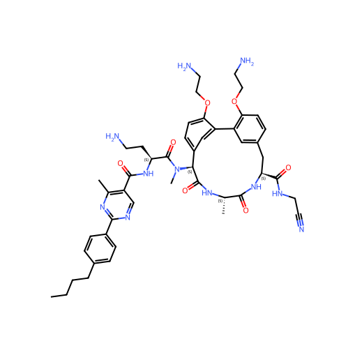 CCCCc1ccc(-c2ncc(C(=O)N[C@@H](CCN)C(=O)N(C)[C@@H]3C(=O)N[C@@H](C)C(=O)N[C@H](C(=O)NCC#N)Cc4ccc(OCCN)c(c4)-c4cc3ccc4OCCN)c(C)n2)cc1